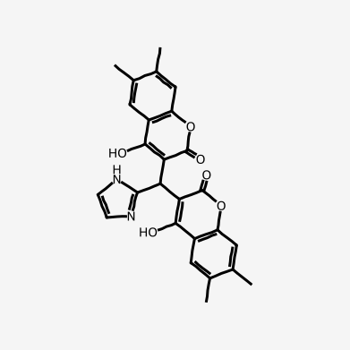 Cc1cc2oc(=O)c(C(c3ncc[nH]3)c3c(O)c4cc(C)c(C)cc4oc3=O)c(O)c2cc1C